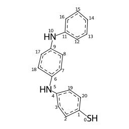 Sc1ccc(Nc2ccc(Nc3ccccc3)cc2)cc1